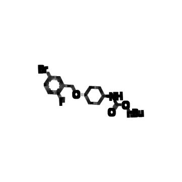 CCCCOC(=O)N[C@H]1CC[C@H](OCc2cc(Br)ccc2F)CC1